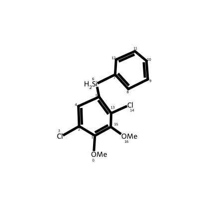 COc1c(Cl)cc([SiH2]c2ccccc2)c(Cl)c1OC